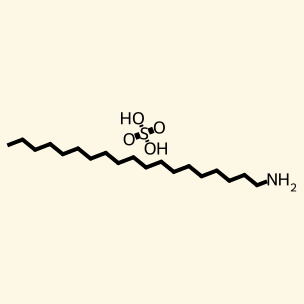 CCCCCCCCCCCCCCCCCCCN.O=S(=O)(O)O